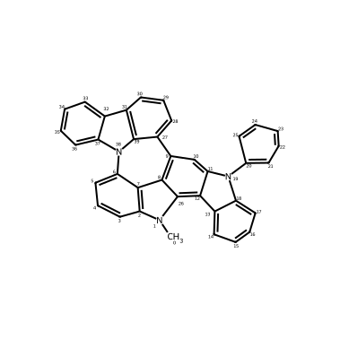 Cn1c2cccc3c2c2c(cc4c(c5ccccc5n4-c4ccccc4)c21)c1cccc2c4ccccc4n3c12